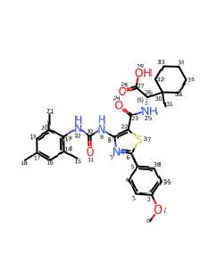 COc1ccc(-c2nc(NC(=O)Nc3c(C)cc(C)cc3C)c(C(=O)N[C@H](C(=O)O)C3(C)CCCCC3)s2)cc1